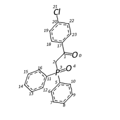 O=C(CP(=O)(c1ccccc1)c1ccccc1)c1ccc(Cl)cc1